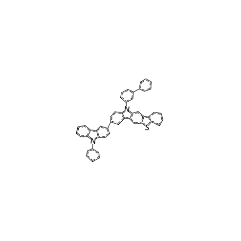 c1ccc(-c2cccc(-n3c4ccc(-c5ccc6c(c5)c5ccccc5n6-c5ccccc5)cc4c4cc5sc6ccccc6c5cc43)c2)cc1